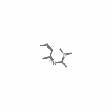 C/C=C\C(C)=N/C(C)N(C)C